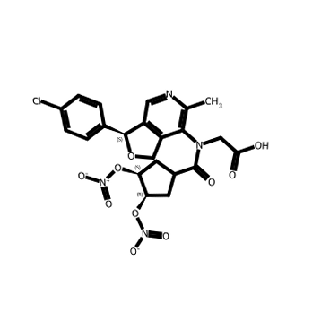 Cc1ncc2c(c1N(CC(=O)O)C(=O)C1C[C@H](O[N+](=O)[O-])[C@H](O[N+](=O)[O-])C1)CO[C@H]2c1ccc(Cl)cc1